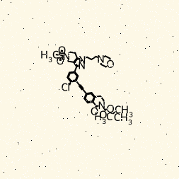 CC(C)(C)OC(=O)N1CCc2cc(C#Cc3cc(-c4nn(CCCN5CCOCC5)c5c4CN(S(C)(=O)=O)CC5)ccc3Cl)ccc2C1=O